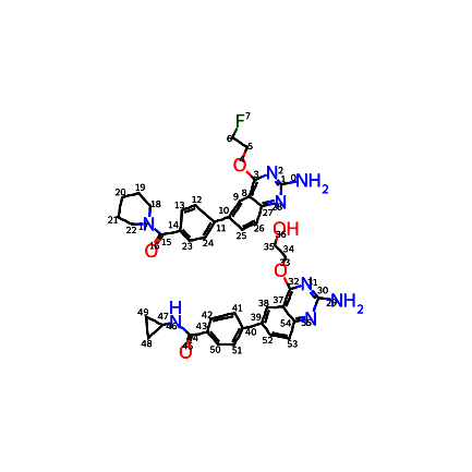 Nc1nc(OCCF)c2cc(-c3ccc(C(=O)N4CCCCC4)cc3)ccc2n1.Nc1nc(OCCO)c2cc(-c3ccc(C(=O)NC4CC4)cc3)ccc2n1